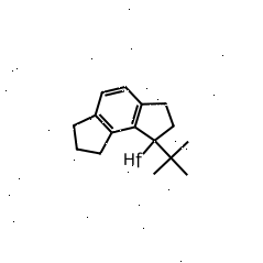 CC(C)(C)[C]1([Hf])CCc2ccc3c(c21)CCC3